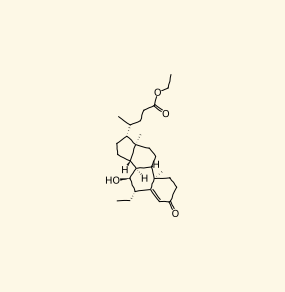 CCOC(=O)CCC(C)[C@H]1CC[C@H]2[C@@H]3[C@H](O)[C@@H](CC)C4=CC(=O)CC[C@]4(C)[C@H]3CC[C@]12C